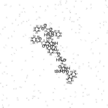 C=C(CCC(NC(=O)C(CCC(=O)NC(CCC(=O)OCc1ccccc1)C(=O)OCc1ccccc1)NC(=O)COCCOCCNC(=O)CCC(NC(=O)OCC1c2ccccc2-c2ccccc21)C(=O)OC(C)(C)C)C(=O)OCc1ccccc1)OCc1ccccc1